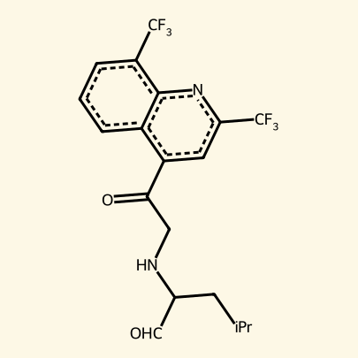 CC(C)CC(C=O)NCC(=O)c1cc(C(F)(F)F)nc2c(C(F)(F)F)cccc12